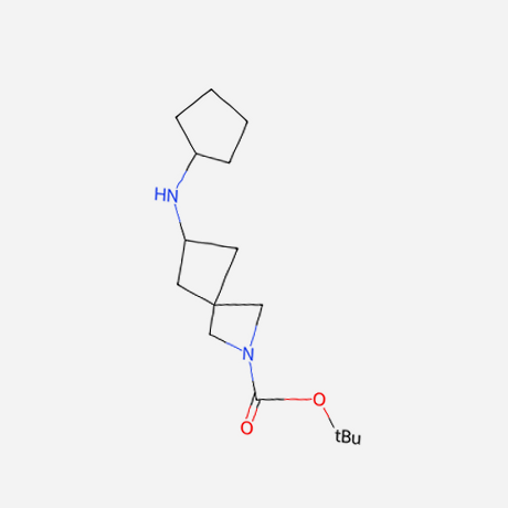 CC(C)(C)OC(=O)N1CC2(CC(NC3CCCC3)C2)C1